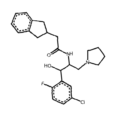 O=C(CC1Cc2ccccc2C1)NC(CN1CCCC1)C(O)c1cc(Cl)ccc1F